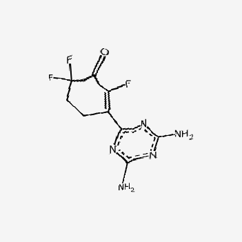 Nc1nc(N)nc(C2=C(F)C(=O)C(F)(F)CC2)n1